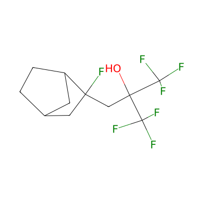 OC(CC1(F)CC2CCC1C2)(C(F)(F)F)C(F)(F)F